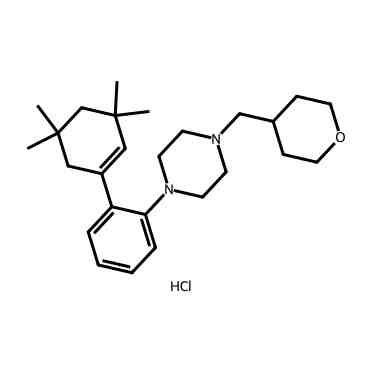 CC1(C)C=C(c2ccccc2N2CCN(CC3CCOCC3)CC2)CC(C)(C)C1.Cl